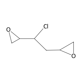 ClC(CC1CO1)C1CO1